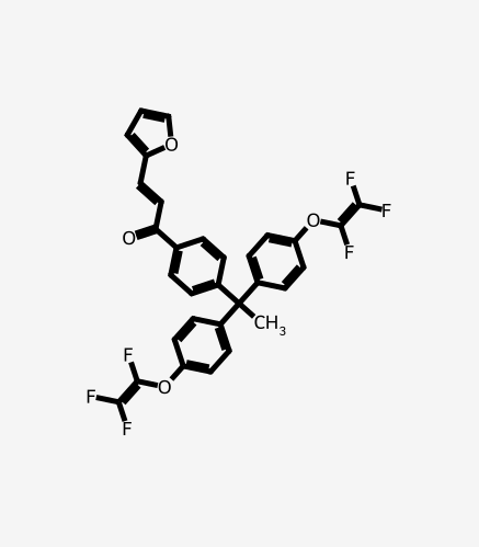 CC(c1ccc(OC(F)=C(F)F)cc1)(c1ccc(OC(F)=C(F)F)cc1)c1ccc(C(=O)C=Cc2ccco2)cc1